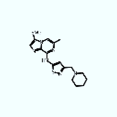 CSc1cnc2c(Nc3cc(CN4CCCCC4)ns3)nc(C)cn12